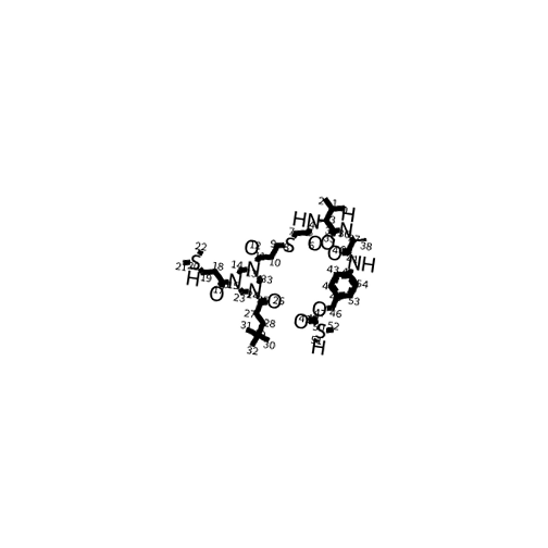 CC(C)[C@H](NC(=O)CSCCC(=O)N1CN(C(=O)CC[SH](C)C)CN(C(=O)CCC(C)(C)C)C1)C(=O)N[C@@H](C)C(=O)Nc1ccc(COC(=O)[SH](C)C)cc1